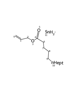 C=CCOC(=O)CCCCCCCCCCC.[SnH2]